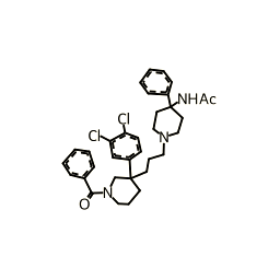 CC(=O)NC1(c2ccccc2)CCN(CCCC2(c3ccc(Cl)c(Cl)c3)CCCN(C(=O)c3ccccc3)C2)CC1